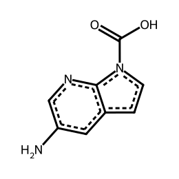 Nc1cnc2c(ccn2C(=O)O)c1